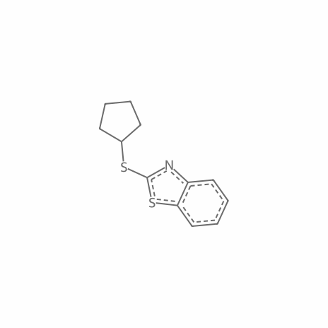 c1ccc2sc(SC3CCCC3)nc2c1